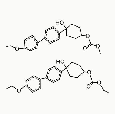 CCOC(=O)OC1CCC(O)(c2ccc(-c3ccc(OCC)cc3)cc2)CC1.CCOc1ccc(-c2ccc(C3(O)CCC(OC(=O)OC)CC3)cc2)cc1